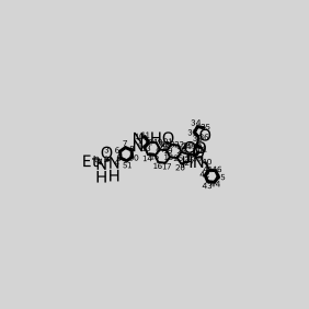 CCNC(=O)Nc1ccc(-n2ncc3c2C=C2CCC4C([C@@H](O)C[C@@]5(C)C4CC[C@]5(OC(=O)c4ccco4)C(=O)NCc4ccccc4)[C@@]2(C)C3)cc1